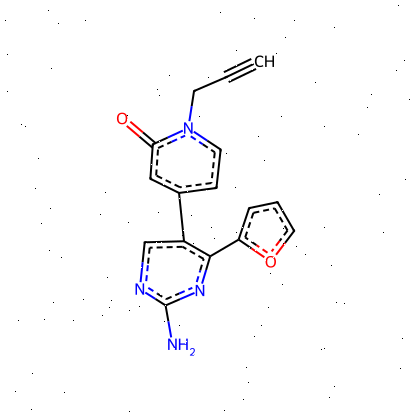 C#CCn1ccc(-c2cnc(N)nc2-c2ccco2)cc1=O